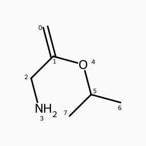 C=C(CN)OC(C)C